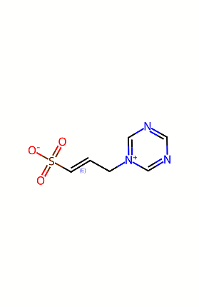 O=S(=O)([O-])/C=C/C[n+]1cncnc1